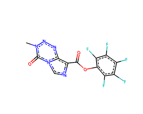 Cn1nnc2c(C(=O)Oc3c(F)c(F)c(F)c(F)c3F)ncn2c1=O